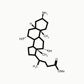 COC(=O)CCC(C)C1CCC2C3C(C[C@H](O)[C@]12C)[C@@]1(C)CC[C@H](N)C[C@H]1C[C@H]3O